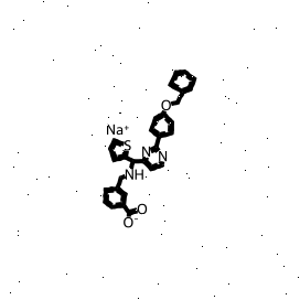 O=C([O-])c1cccc(CNC(c2ccnc(-c3ccc(OCc4ccccc4)cc3)n2)c2cccs2)c1.[Na+]